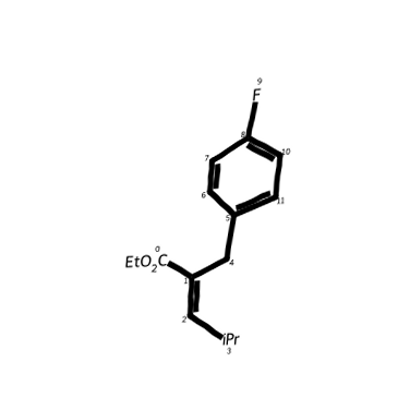 CCOC(=O)/C(=C/C(C)C)Cc1ccc(F)cc1